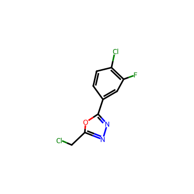 Fc1cc(-c2nnc(CCl)o2)ccc1Cl